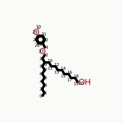 CCCCCCCCCC(CCCCCCCCCCO)CCOCc1ccc(OC)cc1